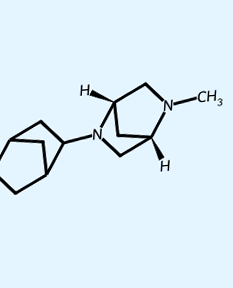 CN1C[C@@H]2C[C@H]1CN2C1CC2CCC1C2